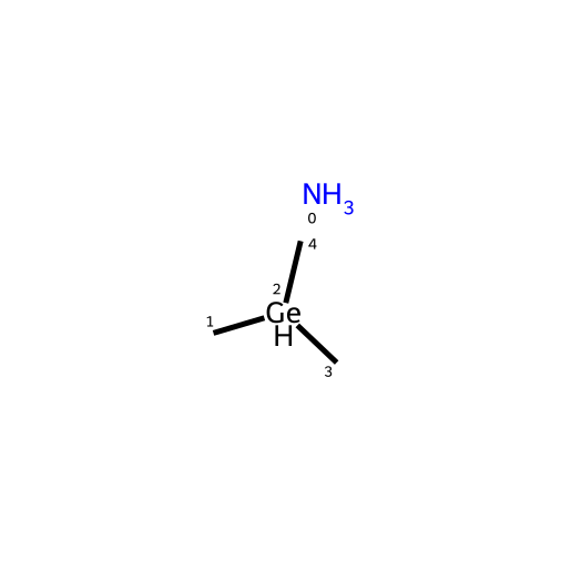 N.[CH3][GeH]([CH3])[CH3]